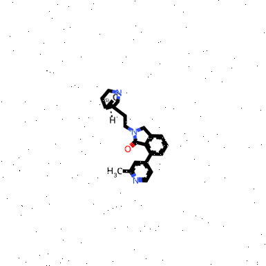 Cc1cc(-c2cccc3c2C(=O)N(CC[C@@H]2CN4CCC2CC4)C3)ccn1